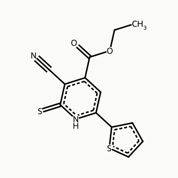 CCOC(=O)c1cc(-c2cccs2)[nH]c(=S)c1C#N